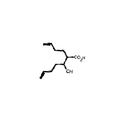 C=CCCC(O)C(CCC=C)C(=O)O